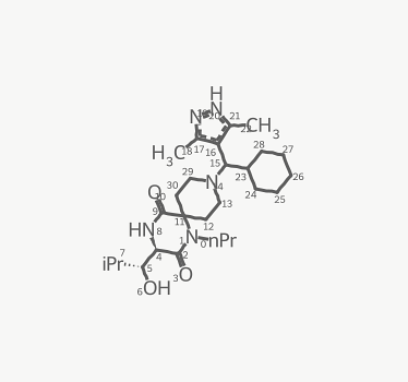 CCCN1C(=O)[C@@H]([C@H](O)C(C)C)NC(=O)C12CCN(C(c1c(C)n[nH]c1C)C1CCCCC1)CC2